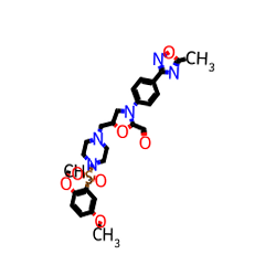 COc1ccc(OC)c(S(=O)(=O)N2CCN(CC3CN(c4ccc(-c5noc(C)n5)cc4)C(C=O)O3)CC2)c1